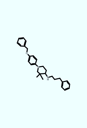 CC1(C)CN(c2ccc(OCc3ccccc3)cc2)CCC1NCCCc1ccccc1